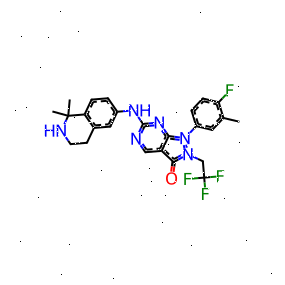 Cc1cc(-n2c3nc(Nc4ccc5c(c4)CCNC5(C)C)ncc3c(=O)n2CC(F)(F)F)ccc1F